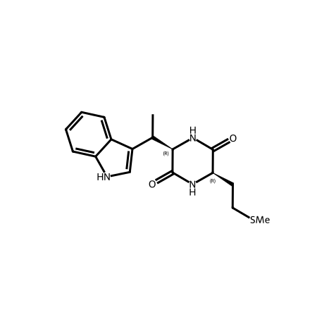 CSCC[C@H]1NC(=O)[C@@H](C(C)c2c[nH]c3ccccc23)NC1=O